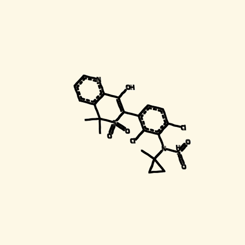 CC1(N(c2c(Cl)ccc(C3=C(O)c4ncccc4C(C)(C)S3(=O)=O)c2Cl)[SH](=O)=O)CC1